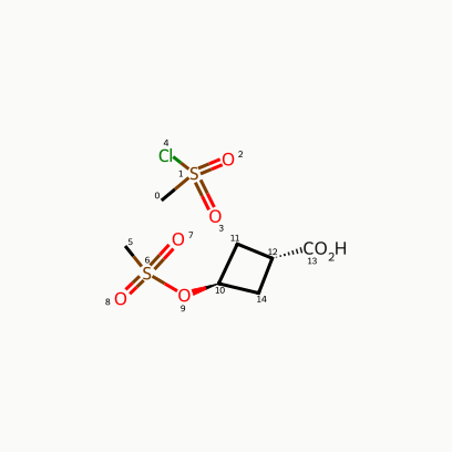 CS(=O)(=O)Cl.CS(=O)(=O)O[C@H]1C[C@H](C(=O)O)C1